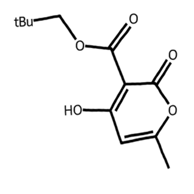 Cc1cc(O)c(C(=O)OCC(C)(C)C)c(=O)o1